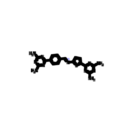 Nc1nc(N)nc(-c2ccc(/C=N/c3ccc(-c4nc(N)nc(N)n4)s3)cc2)n1